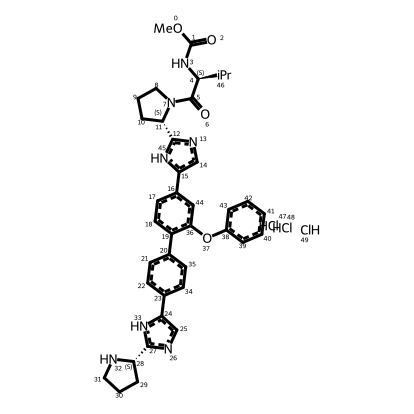 COC(=O)N[C@H](C(=O)N1CCC[C@H]1c1ncc(-c2ccc(-c3ccc(-c4cnc([C@@H]5CCCN5)[nH]4)cc3)c(Oc3ccccc3)c2)[nH]1)C(C)C.Cl.Cl.Cl